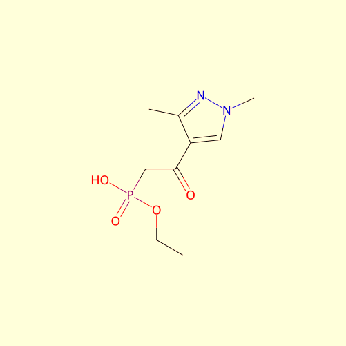 CCOP(=O)(O)CC(=O)c1cn(C)nc1C